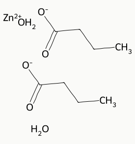 CCCC(=O)[O-].CCCC(=O)[O-].O.O.[Zn+2]